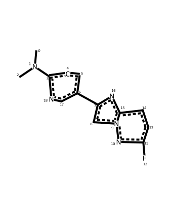 CN(C)c1ccc(-c2cn3nc(F)ccc3n2)cn1